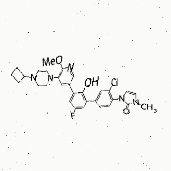 COc1ncc(-c2cc(F)cc(-c3ccc(-n4ccn(C)c4=O)c(Cl)c3)c2O)cc1N1CCN(C2CCC2)CC1